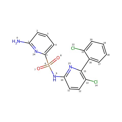 Nc1cccc(S(=O)(=O)Nc2ccc(Cl)c(-c3ccccc3Cl)n2)n1